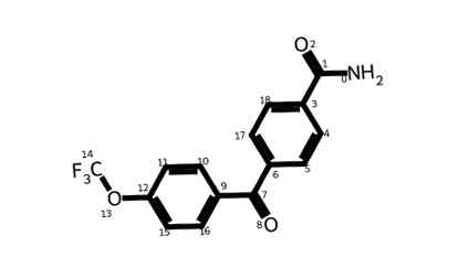 NC(=O)c1ccc(C(=O)c2ccc(OC(F)(F)F)cc2)cc1